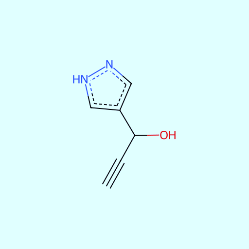 C#CC(O)c1cn[nH]c1